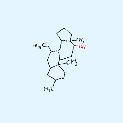 CC1CCC2(C)C(C1)CC(C)C1C3CCCC3(C)C(O)CC12